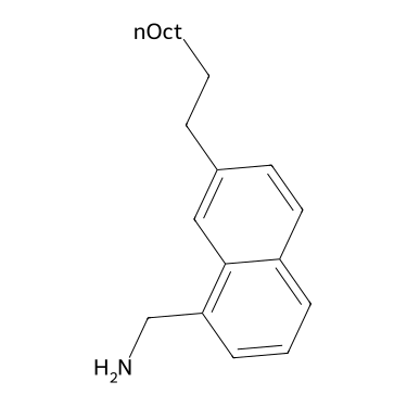 CCCCCCCCCCc1ccc2cccc(CN)c2c1